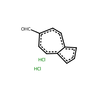 Cl.Cl.O=Cc1ccc2cccc-2cc1